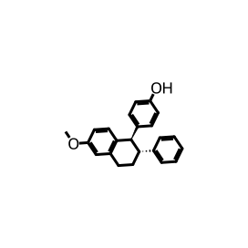 COc1ccc2c(c1)CC[C@@H](c1ccccc1)[C@@H]2c1ccc(O)cc1